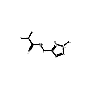 CC(C)C(=O)NCc1ccn(C)n1